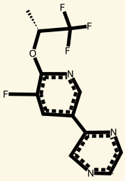 C[C@@H](Oc1ncc(-c2cn[c]cn2)cc1F)C(F)(F)F